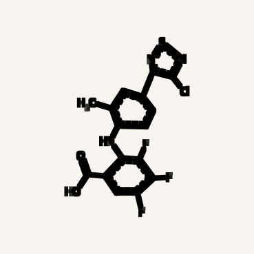 Cc1cc(-c2nsnc2Cl)ccc1Nc1c(C(=O)O)cc(F)c(F)c1F